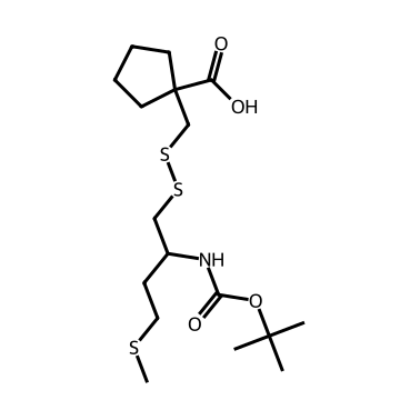 CSCCC(CSSCC1(C(=O)O)CCCC1)NC(=O)OC(C)(C)C